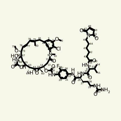 COc1cc2cc(c1Cl)N(C)C(=O)C[C@H](OC(=O)Nc1ccc(NC(=O)[C@H](CCCNC(N)=O)NC(=O)[C@@H](NC(=O)CCCCCN3C(=O)C=CC3=O)C(C)C)cc1F)[C@]1(C)O[C@H]1[C@H](C)[C@@H]1C[C@@](O)(NC(=O)O1)[C@H](OC)/C=C/C=C(\C)C2